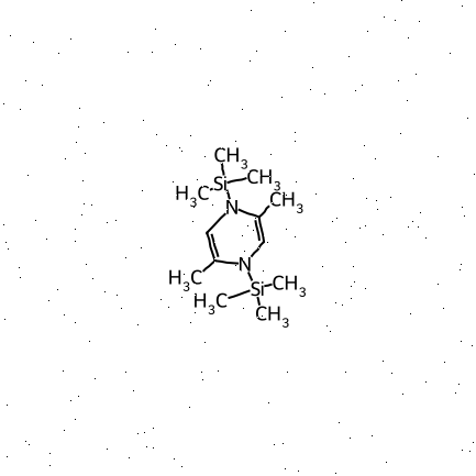 CC1=CN([Si](C)(C)C)C(C)=CN1[Si](C)(C)C